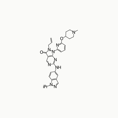 C=CCn1c(=O)c2cnc(Nc3ccc4c(cnn4C(C)C)c3)nc2n1-c1cccc(OC2CCN(C)CC2)n1